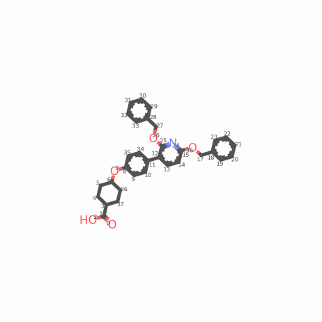 O=C(O)C1CCC(Oc2ccc(-c3ccc(OCc4ccccc4)nc3OCc3ccccc3)cc2)CC1